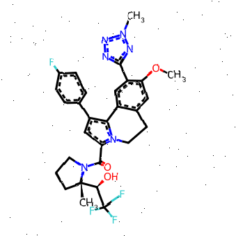 COc1cc2c(cc1-c1nnn(C)n1)-c1c(-c3ccc(F)cc3)cc(C(=O)N3CCC[C@@]3(C)[C@@H](O)C(F)(F)F)n1CC2